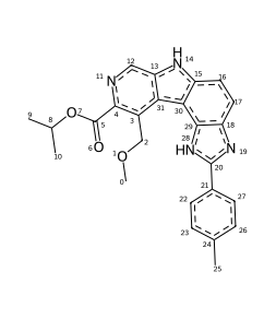 COCc1c(C(=O)OC(C)C)ncc2[nH]c3ccc4nc(-c5ccc(C)cc5)[nH]c4c3c12